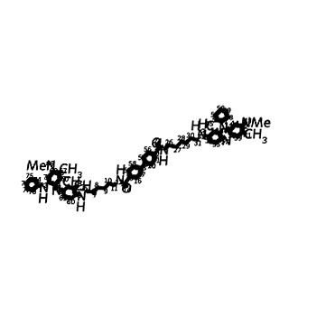 C=C1C(C)=C(NCCCCCCNC(=O)c2ccc(-c3ccc(C(=O)NCCCCCCNc4ccc5nc6cc(C)c(NC)cc6[n+](-c6ccccc6)c5c4C)cc3)cc2)C=C/C1=N/c1cc(C)c(NC)cc1Nc1ccccc1